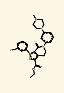 CCNC(=O)c1nn(-c2cccc(Cl)c2)c2c1CCN(c1cccc(N3CCN(C)CC3)c1)C2=O